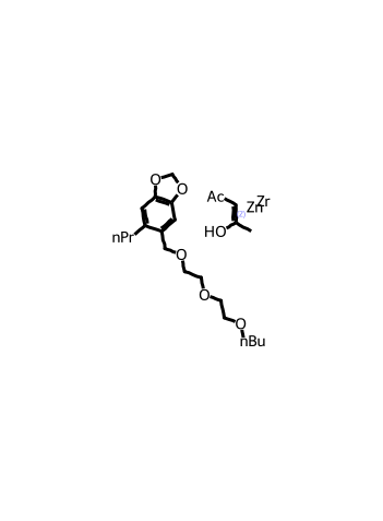 CC(=O)/C=C(/C)O.CCCCOCCOCCOCc1cc2c(cc1CCC)OCO2.[Zn].[Zr]